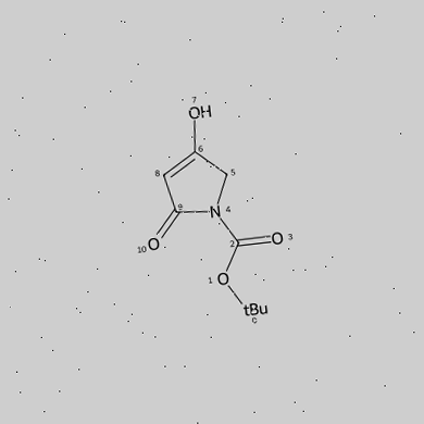 CC(C)(C)OC(=O)N1CC(O)=CC1=O